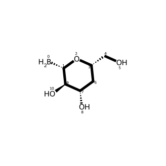 B[C@@H]1O[C@H](CO)C[C@H](O)[C@H]1O